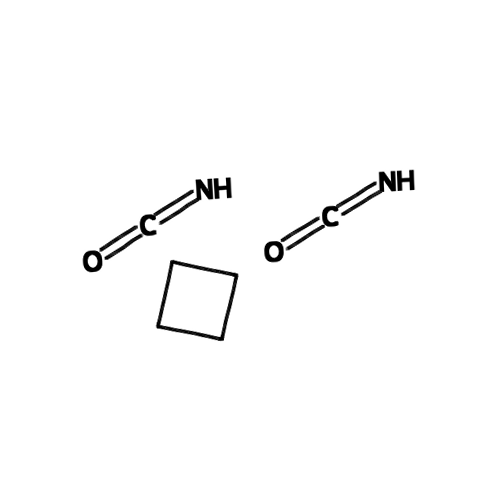 C1CCC1.N=C=O.N=C=O